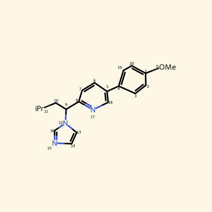 COc1ccc(-c2ccc(C(CC(C)C)n3ccnc3)nc2)cc1